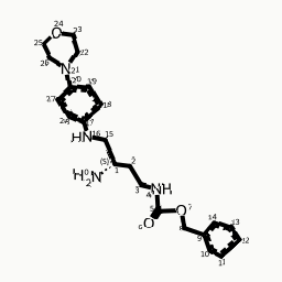 N[C@@H](CCNC(=O)OCc1ccccc1)CNc1ccc(N2CCOCC2)cc1